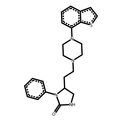 O=C1NCC(CCN2CCN(c3cccc4ccsc34)CC2)N1c1ccccc1